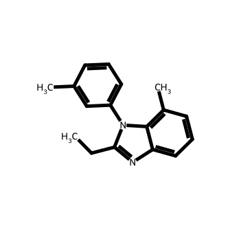 CCc1nc2cccc(C)c2n1-c1cccc(C)c1